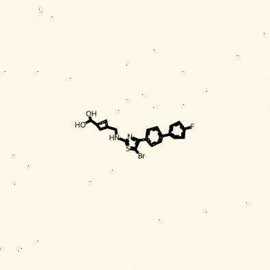 OC(O)C1CC(CNc2nc(-c3ccc(-c4ccc(F)cc4)cc3)c(Br)s2)C1